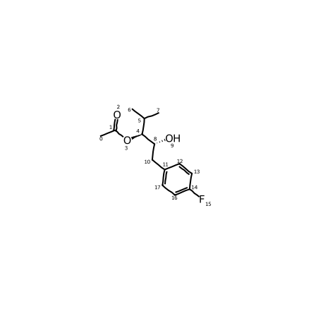 CC(=O)O[C@@H](C(C)C)[C@H](O)Cc1ccc(F)cc1